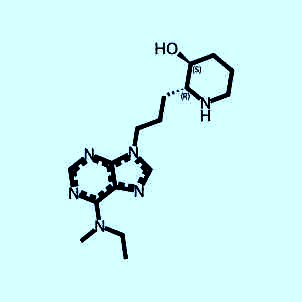 CCN(C)c1ncnc2c1ncn2CCC[C@H]1NCCC[C@@H]1O